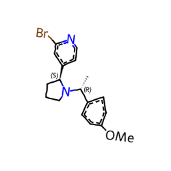 COc1ccc([C@@H](C)N2CCC[C@H]2c2ccnc(Br)c2)cc1